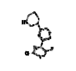 Fc1cnc(Cl)nc1-c1cccc(C2CCCNC2)c1